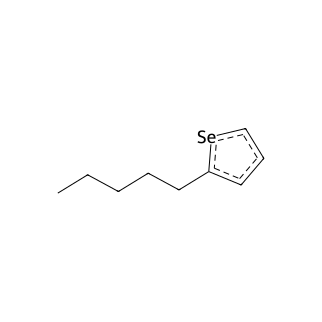 CCCCCc1ccc[se]1